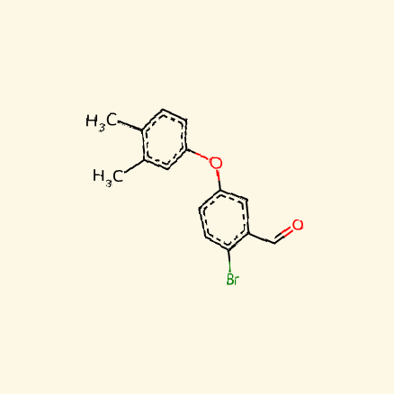 Cc1ccc(Oc2ccc(Br)c(C=O)c2)cc1C